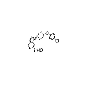 O=Cc1ccc2ccn(N3CCC(Oc4ccc(Cl)cc4)CC3)c2c1